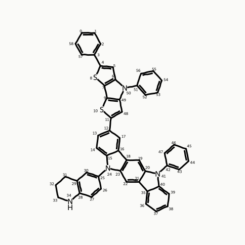 c1ccc(-c2cc3c(s2)c2sc(-c4ccc5c(c4)c4cc6c(cc4n5-c4ccc5c(c4)CCCN5)c4ccccc4n6-c4ccccc4)cc2n3-c2ccccc2)cc1